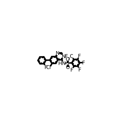 O=S(=O)(Nc1ncnc2cc(-c3ccccc3F)c(Cl)cc12)c1c(F)c(F)c(F)c(F)c1C(F)(F)F